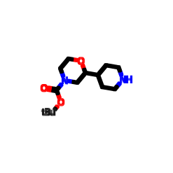 CC(C)(C)OC(=O)N1CCOC(C2CCNCC2)C1